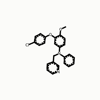 COc1ccc(N(Cc2cccnc2)c2ccccc2)cc1Oc1ccc(Cl)cc1